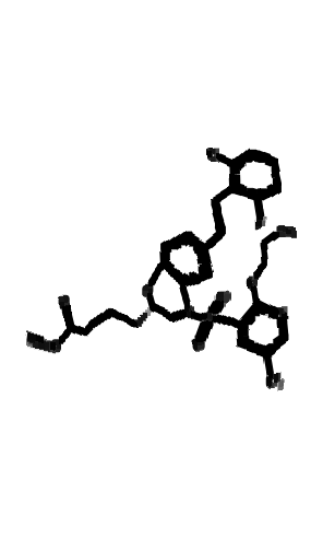 COC(=O)CCC[C@H]1CN(S(=O)(=O)c2cc(C(F)(F)F)cnc2OCCO)c2cc(/C=C/c3c(F)cccc3Cl)ccc2O1